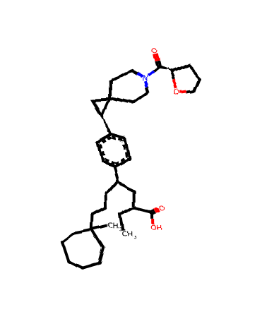 CCC(CC(CCCC1(C)CCCCCC1)c1ccc([C@H]2CC23CCN(C(=O)[C@H]2CCCO2)CC3)cc1)C(=O)O